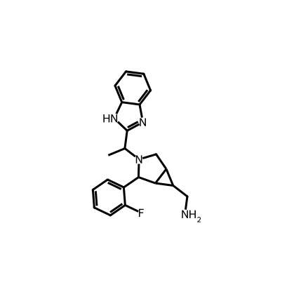 CC(c1nc2ccccc2[nH]1)N1CC2C(CN)C2C1c1ccccc1F